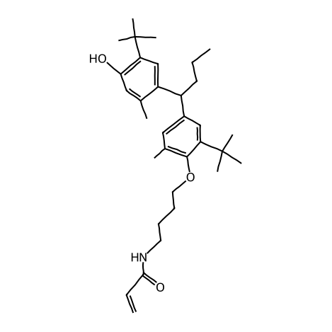 C=CC(=O)NCCCCOc1c(C)cc(C(CCC)c2cc(C(C)(C)C)c(O)cc2C)cc1C(C)(C)C